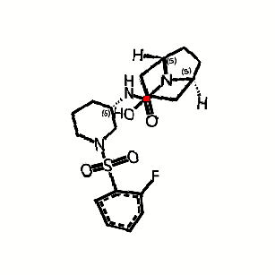 O=C(N[C@H]1CCCN(S(=O)(=O)c2ccccc2F)C1)N1[C@H]2CC[C@H]1CC(O)C2